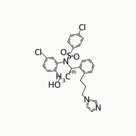 C[C@H](c1ccccc1CCCn1ccnc1)N(c1cc(Cl)ccc1CO)S(=O)(=O)c1ccc(Cl)cc1